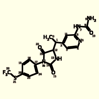 CC(c1ccnc(NC(N)=O)c1)C1NC(=O)N(c2ccc(SC(F)(F)F)cc2)C1=O